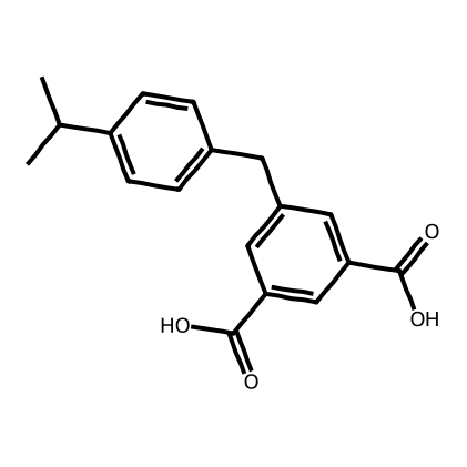 CC(C)c1ccc(Cc2cc(C(=O)O)cc(C(=O)O)c2)cc1